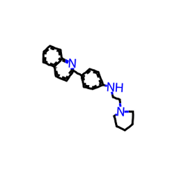 c1ccc2nc(-c3ccc(NCCN4CCCCC4)cc3)ccc2c1